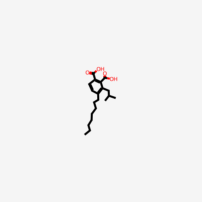 CCCCCCCCc1ccc(C(=O)O)c(C(=O)O)c1CC(C)C